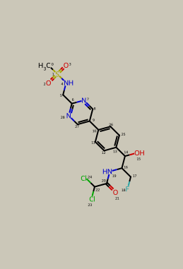 CS(=O)(=O)NCc1ncc(-c2ccc(C(O)C(CF)NC(=O)C(Cl)Cl)cc2)cn1